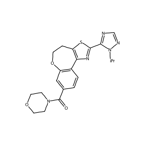 CC(C)n1ncnc1-c1nc2c(s1)CCOc1cc(C(=O)N3CCOCC3)ccc1-2